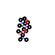 CC(C)(C)c1ccc(-c2cccc(-c3ccc(C(C)(C)C)cc3)c2N2c3cc4c(cc3B3c5ccccc5N(c5ccccc5)c5c3c2cc2oc3ccccc3c52)B2c3ccccc3Oc3c2c(cc2c3c3ccccc3n2-c2ccccc2)N4)cc1